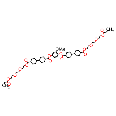 C=CC(=O)OCCOCCOCCOC(=O)C1CCC(C2CCC(C(=O)Oc3ccc(OC(=O)C4CCC(C5CCC(C(=O)OCCOCCOCCOC(=O)C=C)CC5)CC4)c(OC)c3)CC2)CC1